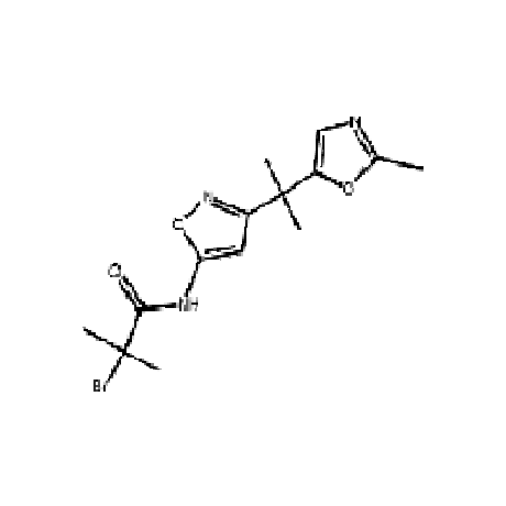 Cc1ncc(C(C)(C)c2cc(NC(=O)C(C)(C)Br)on2)o1